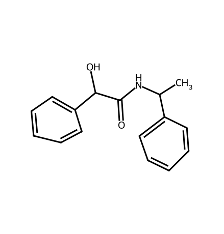 CC(NC(=O)C(O)c1ccccc1)c1ccccc1